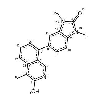 Cc1c(O)ncc2c(-c3ccc4c(c3)n(C)c(=O)n4C)cccc12